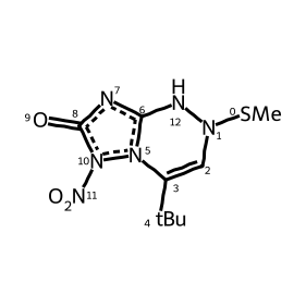 CSN1C=C(C(C)(C)C)n2c(nc(=O)n2[N+](=O)[O-])N1